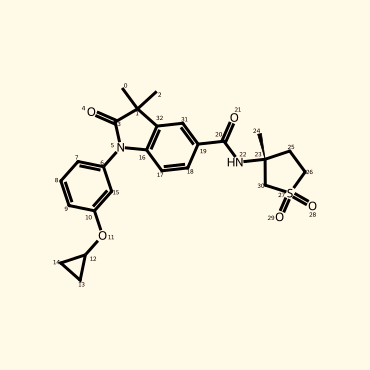 CC1(C)C(=O)N(c2cccc(OC3CC3)c2)c2ccc(C(=O)N[C@]3(C)CCS(=O)(=O)C3)cc21